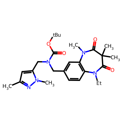 CCN1C(=O)C(C)(C)C(=O)N(C)c2cc(CN(Cc3cc(C)nn3C)C(=O)OC(C)(C)C)ccc21